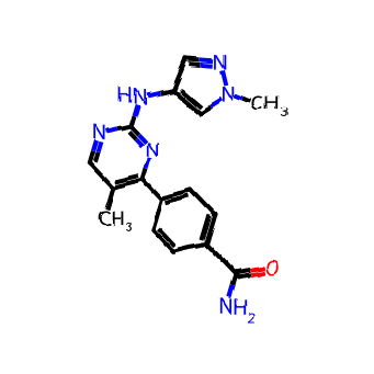 Cc1cnc(Nc2cnn(C)c2)nc1-c1ccc(C(N)=O)cc1